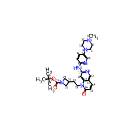 CN1CCN(c2ccc(Nc3cc4c(ccc(=O)n4CCC4CN(C(=O)OC(C)(C)C)C4)cn3)nc2)CC1